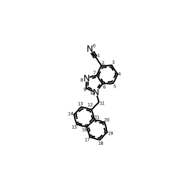 N#Cc1cccc2c1ncn2Cc1cccc2ccccc12